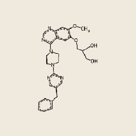 COc1cc2ncnc(N3CCN(c4ncc(Cc5ccccc5)cn4)CC3)c2cc1OCC(O)CO